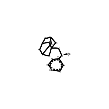 CC(=O)[C@H](CC12CC3CC(CC(C3)C1)C2)c1ccncc1